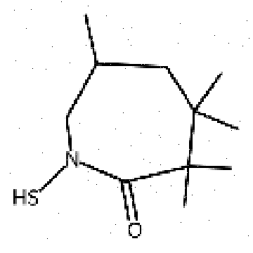 CC1CN(S)C(=O)C(C)(C)C(C)(C)C1